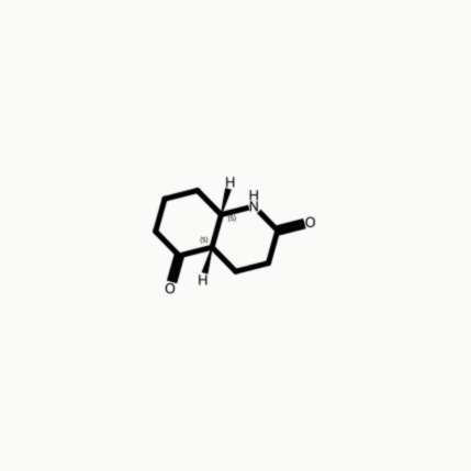 O=C1CC[C@@H]2C(=O)CCC[C@@H]2N1